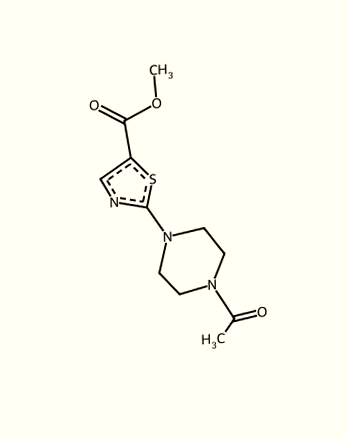 COC(=O)c1cnc(N2CCN(C(C)=O)CC2)s1